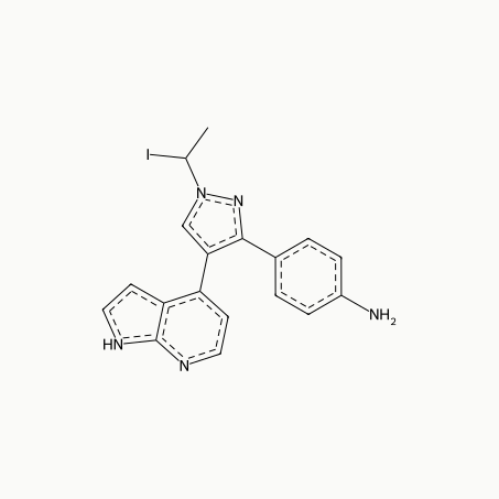 CC(I)n1cc(-c2ccnc3[nH]ccc23)c(-c2ccc(N)cc2)n1